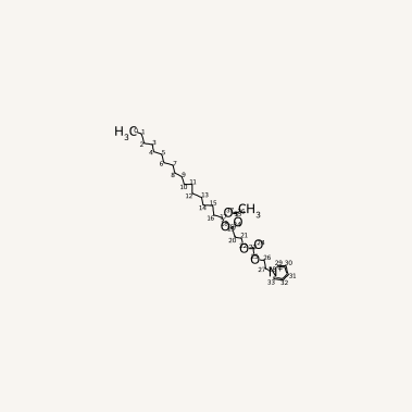 CCCCCCCCCCCCCCCCCCO[C@H](CCOC(=O)OCC[n+]1ccccc1)OC(C)=O